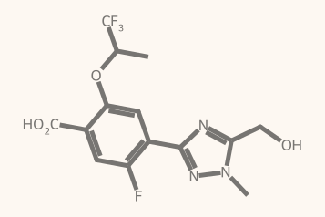 CC(Oc1cc(-c2nc(CO)n(C)n2)c(F)cc1C(=O)O)C(F)(F)F